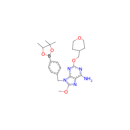 COc1nc2c(N)nc(OCC3CCOCC3)nc2n1Cc1ccc(B2OC(C)C(C)(C)O2)cc1